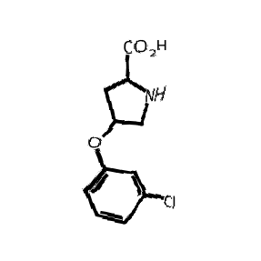 O=C(O)C1CC(Oc2cccc(Cl)c2)CN1